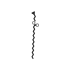 CCCCCCCCCCCCCCCCC(=O)OCCCC1CC1